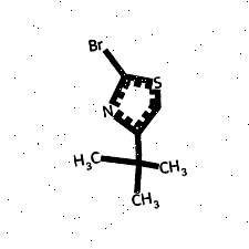 CC(C)(C)c1csc(Br)n1